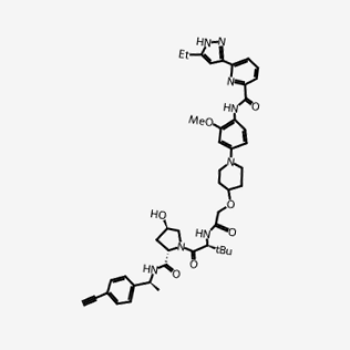 C#Cc1ccc([C@H](C)NC(=O)[C@@H]2C[C@@H](O)CN2C(=O)[C@@H](NC(=O)COC2CCN(c3ccc(NC(=O)c4cccc(-c5cc(CC)[nH]n5)n4)c(OC)c3)CC2)C(C)(C)C)cc1